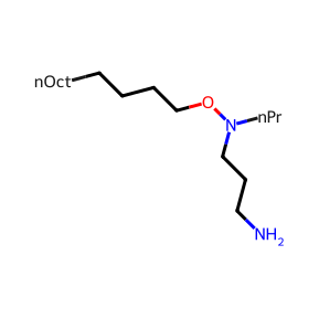 CCCCCCCCCCCCON(CCC)CCCN